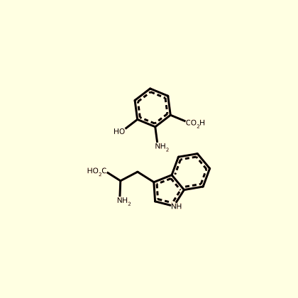 NC(Cc1c[nH]c2ccccc12)C(=O)O.Nc1c(O)cccc1C(=O)O